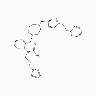 NC(=O)N(CCCn1ccnc1)c1ccccc1CN1CCCN(Cc2ccc(OCc3ccccc3)cc2)CC1